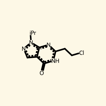 CC(C)n1ncc2c(=O)[nH]c(CCCl)nc21